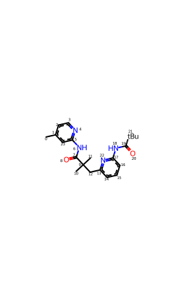 Cc1ccnc(NC(=O)C(C)(C)Cc2cccc(NC(=O)C(C)(C)C)n2)c1